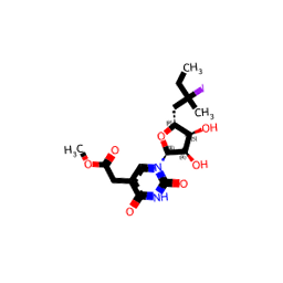 CCC(C)(I)C[C@H]1O[C@@H](n2cc(CC(=O)OC)c(=O)[nH]c2=O)[C@H](O)[C@@H]1O